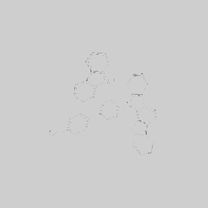 N#Cc1ccc(-c2ccc(-n3c4c(c5ccc6c7c(oc6c53)C=CCC7)C=C=C=C4)cc2-c2cccc3c2[nH]c2ccccc23)cc1